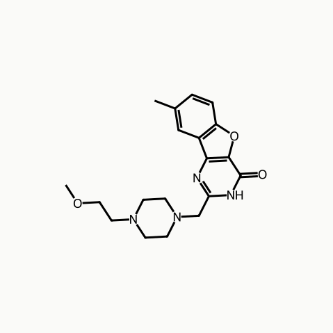 COCCN1CCN(Cc2nc3c(oc4ccc(C)cc43)c(=O)[nH]2)CC1